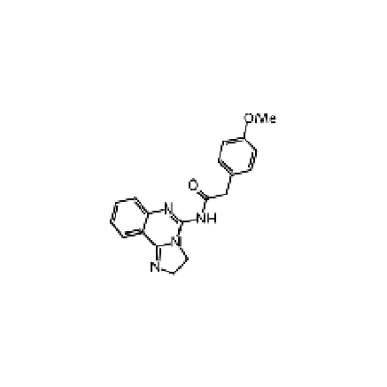 COc1ccc(CC(=O)NC2=Nc3ccccc3C3=NCCN23)cc1